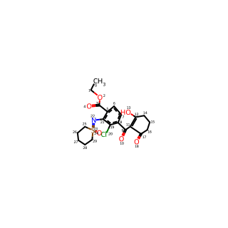 CCOC(=O)c1ccc(C(=O)C2=C(O)CCCC2=O)c(Cl)c1N=S1(=O)CCCCC1